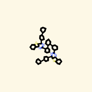 c1ccc(-c2ccc(-c3nc(-c4cccc(-c5ccccc5-c5ccccc5-c5nc(-c6ccc(-c7ccccc7)cc6)c6sc7ccccc7c6n5)c4)nc4c3sc3ccccc34)cc2)cc1